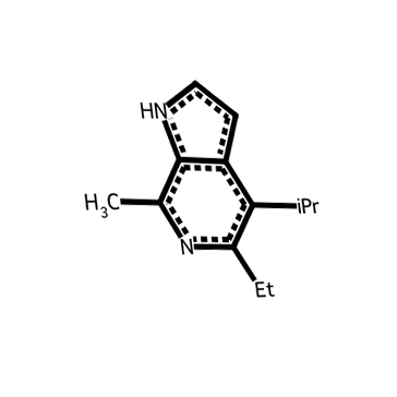 CCc1nc(C)c2[nH]ccc2c1C(C)C